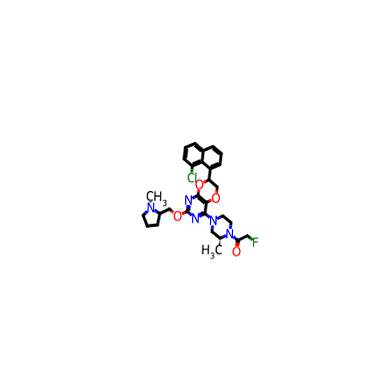 C[C@@H]1CN(c2nc(OCC3CCCN3C)nc3c2OCC(c2cccc4cccc(Cl)c24)O3)CCN1C(=O)CF